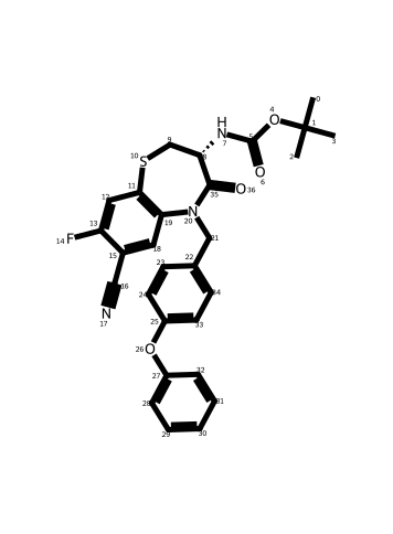 CC(C)(C)OC(=O)N[C@H]1CSc2cc(F)c(C#N)cc2N(Cc2ccc(Oc3ccccc3)cc2)C1=O